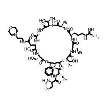 CC[C@H](C)[C@@H]1NC(=O)[C@@H](CCCNC(=N)N)NC(=O)[C@H](CC(C)C)NC(=O)[C@H]([C@H](O)C(C)C)NC(=O)[C@@H](NC(=O)[C@H](CC(C)C)NC(=O)[C@H](N)CC(C)C)[C@@H](c2ccccc2)OC(=O)[C@H](CO)NC(=O)[C@H]([C@H](O)C(=O)NCCN2CCOCC2)NC(=O)CNC(=O)[C@H]([C@H](C)O)NC1=O